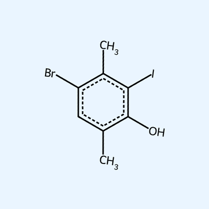 Cc1cc(Br)c(C)c(I)c1O